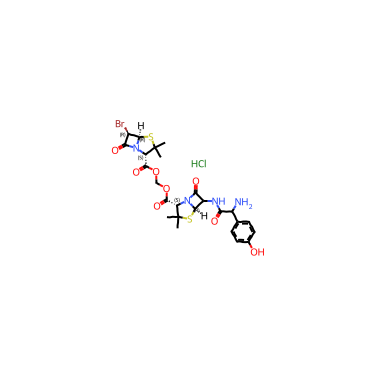 CC1(C)S[C@@H]2C(NC(=O)C(N)c3ccc(O)cc3)C(=O)N2[C@H]1C(=O)OCOC(=O)[C@@H]1N2C(=O)[C@@H](Br)[C@H]2SC1(C)C.Cl